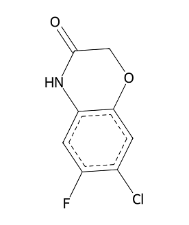 O=C1COc2cc(Cl)c(F)cc2N1